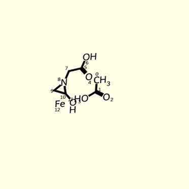 CC(=O)O.O=C(O)CN1CC1O.[Fe]